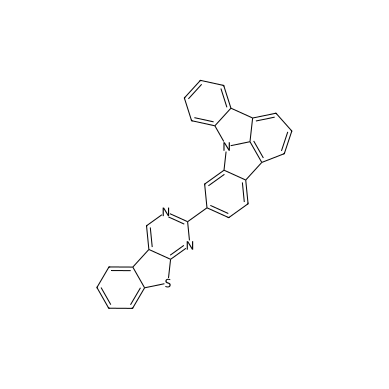 c1ccc2c(c1)sc1nc(-c3ccc4c5cccc6c7ccccc7n(c4c3)c65)ncc12